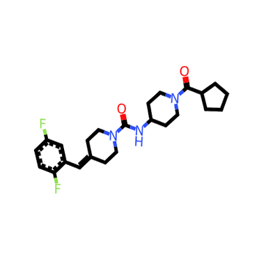 O=C(NC1CCN(C(=O)C2CCCC2)CC1)N1CCC(=Cc2cc(F)ccc2F)CC1